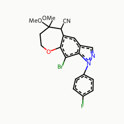 COC1(OC)CCOc2c(cc3cnn(-c4ccc(F)cc4)c3c2Br)C1C#N